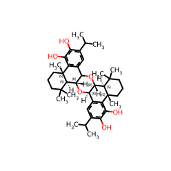 CC(C)c1cc2c(c(O)c1O)[C@@]1(C)CCCC(C)(C)[C@@H]1[C@H]1OC3c4cc(C(C)C)c(O)c(O)c4[C@@]4(C)CCCC(C)(C)[C@@H]4[C@H]3O[C@H]21